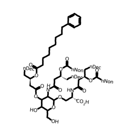 CCCCCCCCCCC[C@H](CC(=O)NC1C(OC[C@H](NC(=O)C[C@@H](CCCCCCCCCCC)OC(=O)CCCCCCCCC)C(=O)O)OC(CO)C(O)C1OC(=O)C[C@@H](CCCCCCCCCCC)OC(=O)CCCCCCCCc1ccccc1)OC(=O)CCCCCCCCC